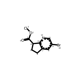 O=C(OCl)C1CCc2cc(Br)cnc21